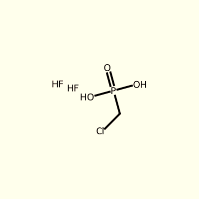 F.F.O=P(O)(O)CCl